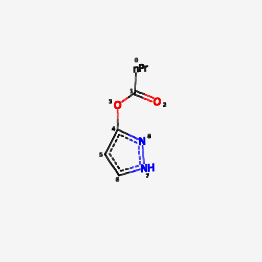 CCCC(=O)Oc1cc[nH]n1